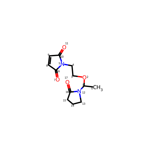 CC(OCCN1C(=O)C=CC1=O)N1CCCC1=O